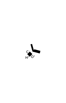 C=CC.[C-]#[O+].[H+]